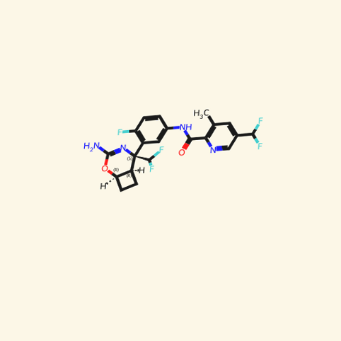 Cc1cc(C(F)F)cnc1C(=O)Nc1ccc(F)c([C@@]2(C(F)F)N=C(N)O[C@@H]3CC[C@@H]32)c1